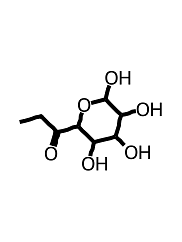 CCC(=O)C1OC(O)C(O)C(O)C1O